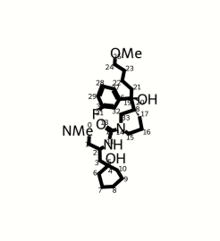 CNCC(CC1(O)CCCCC1)NC(=O)N1CCC[C@@H]([C@@](O)(CCCCOC)c2cccc(F)c2)C1